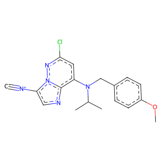 [C-]#[N+]c1cnc2c(N(Cc3ccc(OC)cc3)C(C)C)cc(Cl)nn12